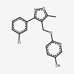 Cc1onc(-c2cccc(Cl)c2)c1COc1ccc(C#N)cn1